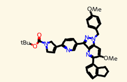 COc1ccc(Cn2nc(-c3ccc(C4=CCN(C(=O)OC(C)(C)C)C4)nc3)c3nc(-c4cccc5c4CCC5)c(OC)cc32)cc1